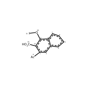 CC(=O)c1cc2ccccc2c(OI)c1C(=O)O